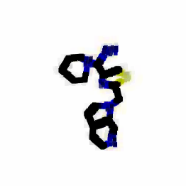 N=C(c1csc(Cn2ccc3ccncc32)n1)N1CCCCC1